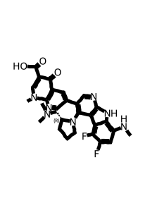 CNc1cc(F)c(F)c2c1[nH]c1ncc(-c3cnc4c(c3)c(=O)c(C(=O)O)cn4C)c(N3CCC[C@@H]3CN(C)C)c12